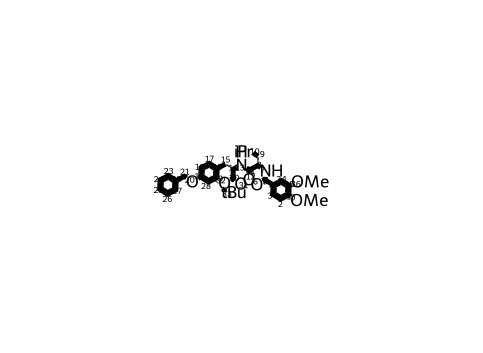 COc1ccc(C(=O)N[C@@H](CC(C)C)C(=O)N[C@@H](Cc2ccc(OCc3ccccc3)cc2)C(=O)OC(C)(C)C)cc1OC